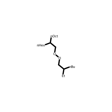 CCCCCCCCC(CCCCCC)COOCC(CC)CCCC